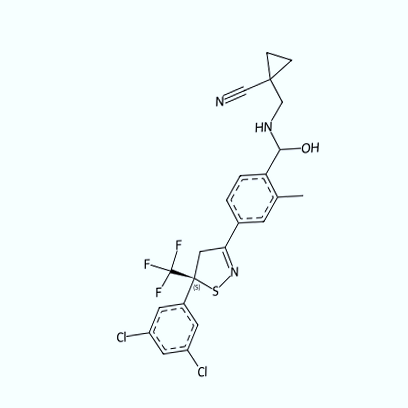 Cc1cc(C2=NS[C@@](c3cc(Cl)cc(Cl)c3)(C(F)(F)F)C2)ccc1C(O)NCC1(C#N)CC1